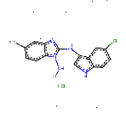 CCNn1c(Nc2c[nH]c3ccc(Cl)cc23)nc2cc(C(F)(F)F)ccc21.Cl